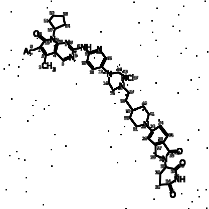 CC(=O)c1c(C)c2cnc(Nc3ccc(N4CCN(CCC5CCN(c6ccc7c(c6)CN(C6CCC(=O)NC6=O)C7=O)CC5)CC4)cn3)nc2n(C2CCCC2)c1=O.Cl